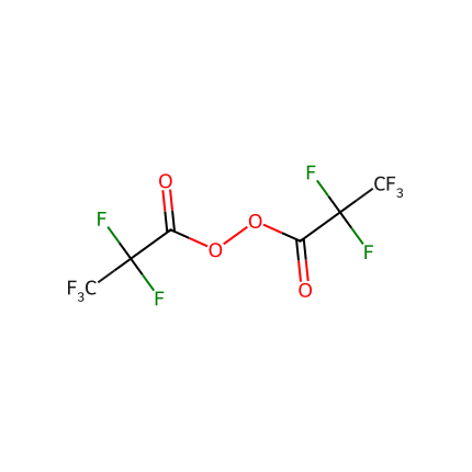 O=C(OOC(=O)C(F)(F)C(F)(F)F)C(F)(F)C(F)(F)F